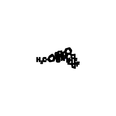 Cc1ccc(S(=O)(=O)N/N=C(\c2c(Cl)cccc2Cl)N2CC3(CCC3(F)F)C2)cc1